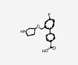 O=C(O)c1ccc(-c2ccc(F)cc2COC2CCNC2)cc1